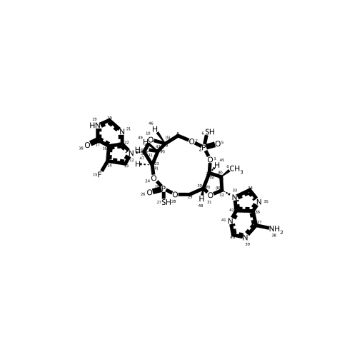 C[C@@H]1[C@@H]2OP(=O)(S)OC[C@H]3O[C@@H](n4cc(F)c5c(=O)[nH]cnc54)[C@H](OP(=O)(S)OC[C@H]2O[C@H]1n1cnc2c(N)ncnc21)[C@@H]3C